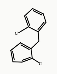 Clc1ccccc1[CH]c1ccccc1Cl